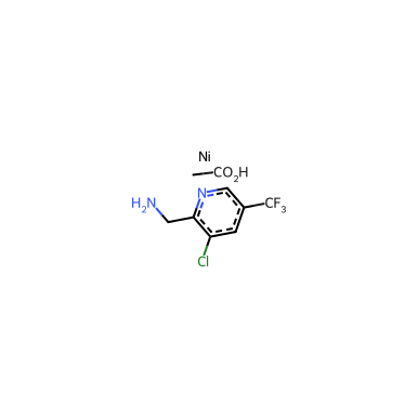 CC(=O)O.NCc1ncc(C(F)(F)F)cc1Cl.[Ni]